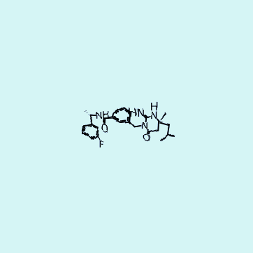 CC(C)C[C@]1(C)CC(=O)N(Cc2cccc(C(=O)N[C@@H](C)c3cccc(F)c3)c2)C(=N)N1